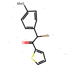 CSc1ccc(C(Br)C(=O)c2cccs2)cc1